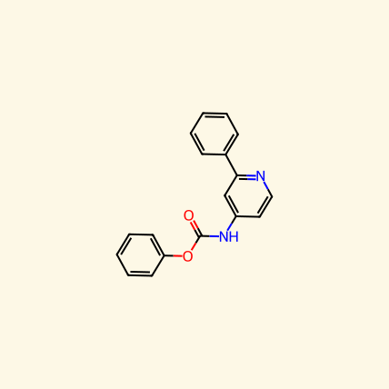 O=C(Nc1ccnc(-c2ccccc2)c1)Oc1ccccc1